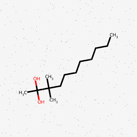 CCCCCCCCC(C)(C)C(C)(O)O